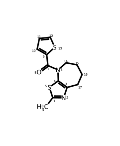 Cc1nc2c(s1)N(C(=O)c1cccs1)CCCC2